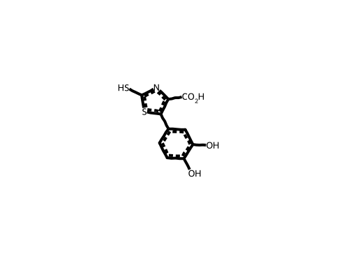 O=C(O)c1nc(S)sc1-c1ccc(O)c(O)c1